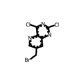 Clc1nc(Cl)c2ncc(CBr)cc2n1